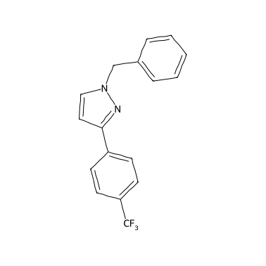 FC(F)(F)c1ccc(-c2ccn(Cc3ccccc3)n2)cc1